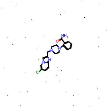 NC(=O)c1ccccc1N1CCN(Cc2cn3cc(Cl)ccc3n2)CC1